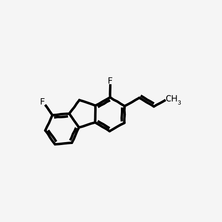 CC=Cc1ccc2c(c1F)Cc1c(F)cccc1-2